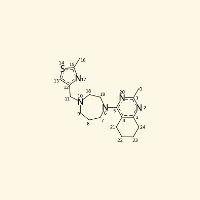 Cc1nc2c(c(N3CCCN(Cc4csc(C)n4)CC3)n1)CCCC2